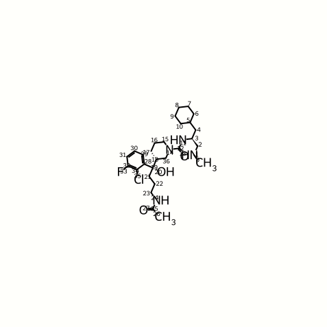 CNC[C@H](CC1CCCCC1)NC(=O)N1CCC[C@@H]([C@@](O)(CCCNC(C)=O)c2cccc(F)c2Cl)C1